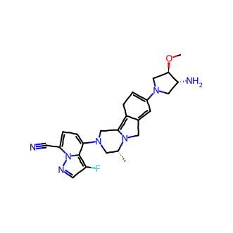 CO[C@@H]1CN(C2=CCC3=C4CN(c5ccc(C#N)n6ncc(F)c56)C[C@@H](C)N4CC3=C2)C[C@H]1N